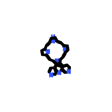 C1=Cc2cc3c(-c4ccncc4)c(-c4ccncc4)c(cc4nc(cc5ccc(cc1n2)[nH]5)C=C4)n3-c1ccncc1